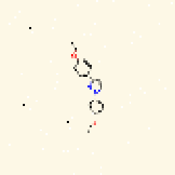 CCOc1ccc(-c2ccn(-c3ccc(OCC)cc3)n2)cc1